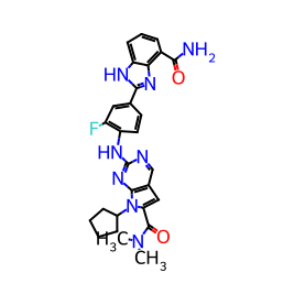 CN(C)C(=O)c1cc2cnc(Nc3ccc(-c4nc5c(C(N)=O)cccc5[nH]4)cc3F)nc2n1C1CCCC1